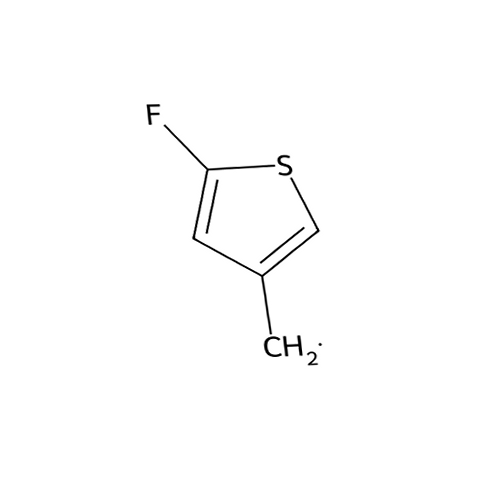 [CH2]c1csc(F)c1